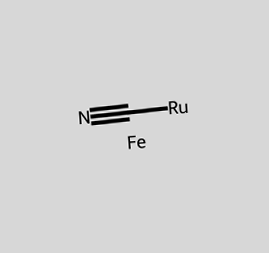 N#[C][Ru].[Fe]